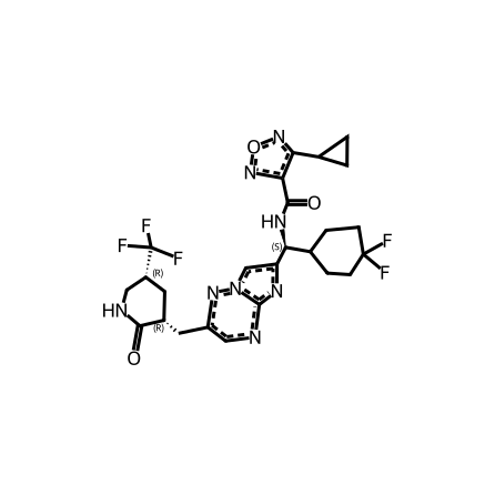 O=C(N[C@H](c1cn2nc(C[C@H]3C[C@@H](C(F)(F)F)CNC3=O)cnc2n1)C1CCC(F)(F)CC1)c1nonc1C1CC1